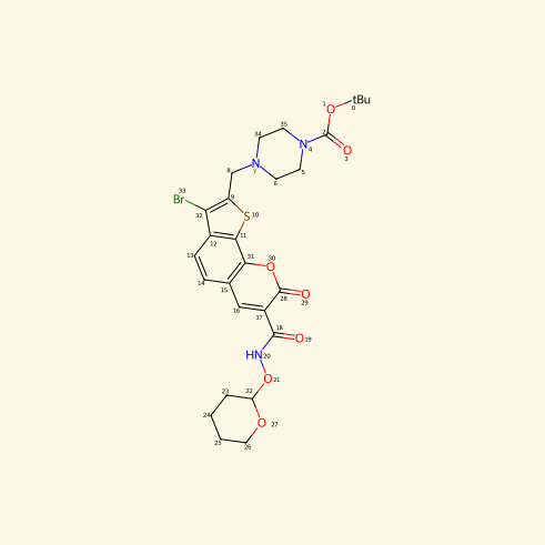 CC(C)(C)OC(=O)N1CCN(Cc2sc3c(ccc4cc(C(=O)NOC5CCCCO5)c(=O)oc43)c2Br)CC1